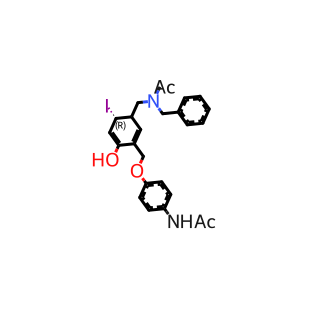 CC(=O)Nc1ccc(OCC2=CC(CN(Cc3ccccc3)C(C)=O)[C@@H](I)C=C2O)cc1